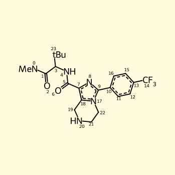 CNC(=O)C(NC(=O)c1nc(-c2ccc(C(F)(F)F)cc2)n2c1CNCC2)C(C)(C)C